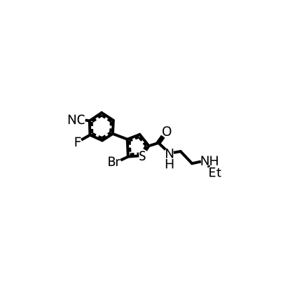 CCNCCNC(=O)c1cc(-c2ccc(C#N)c(F)c2)c(Br)s1